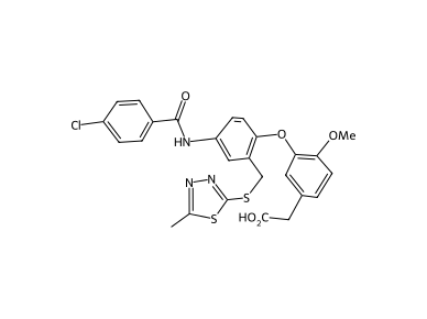 COc1ccc(CC(=O)O)cc1Oc1ccc(NC(=O)c2ccc(Cl)cc2)cc1CSc1nnc(C)s1